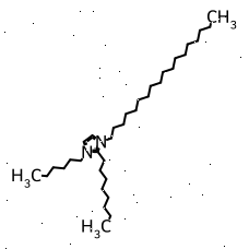 CCCCCCCCCCCCCCCCCCn1cc[n+](CCCCCC)c1CCCCCCCC